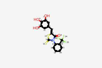 O=C1C(=Cc2cc(O)c(O)c(O)c2)SC(=S)N1c1ccccc1C(F)(F)F